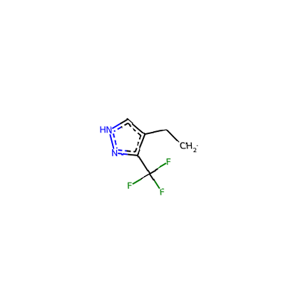 [CH2]Cc1c[nH]nc1C(F)(F)F